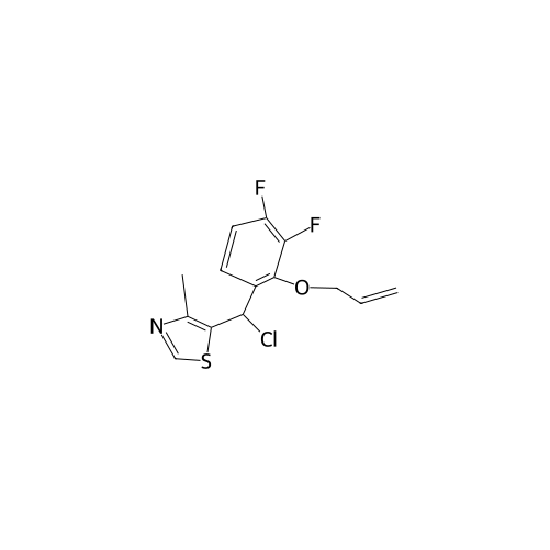 C=CCOc1c(C(Cl)c2scnc2C)ccc(F)c1F